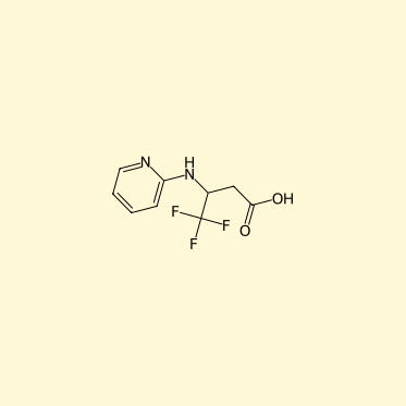 O=C(O)CC(Nc1ccccn1)C(F)(F)F